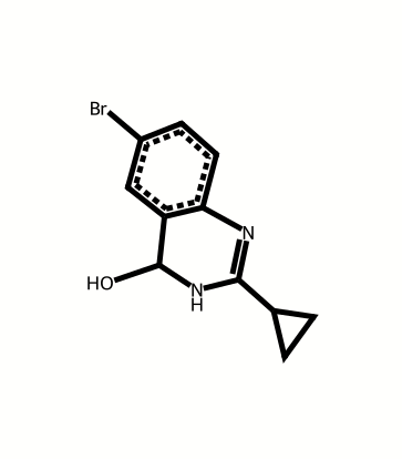 OC1NC(C2CC2)=Nc2ccc(Br)cc21